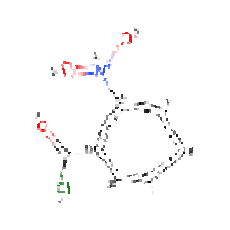 O=CCl.O=[N+]([O-])c1ccccc1